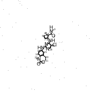 CNC(=O)c1sccc1Nc1nc(Nc2ccc3c(c2)CCOC(=O)N3C)ncc1Cl